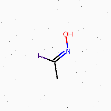 CC(I)=NO